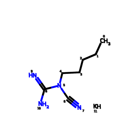 CCCCCN(C#N)C(=N)N.[KH]